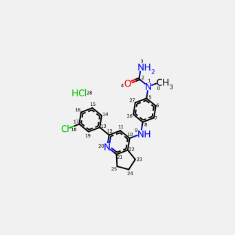 CN(C(N)=O)c1ccc(Nc2cc(-c3cccc(Cl)c3)nc3c2CCC3)cc1.Cl